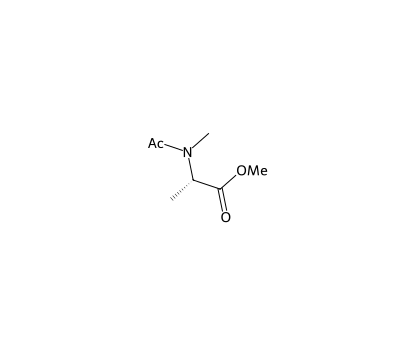 COC(=O)[C@H](C)N(C)C(C)=O